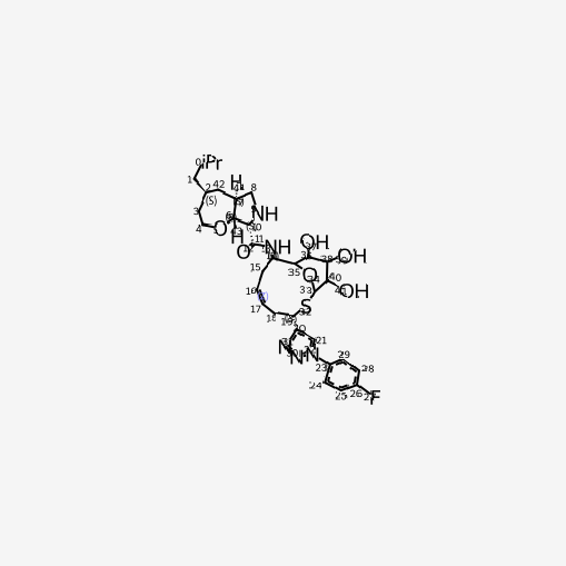 CC(C)C[C@@H]1CCO[C@@H]2[C@H](CN[C@@H]2C(=O)N[C@@H]2C/C=C\C[C@@H](c3cn(-c4ccc(F)cc4)nn3)SC3OC2C(O)C(O)C3O)C1